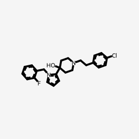 OC1(c2cccn2Cc2ccccc2F)CCN(CCc2ccc(Cl)cc2)CC1